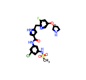 CS(=O)(=O)Nc1cc(Cl)cc(NC(=O)c2c[nH]c(Cc3ncc(O[C@H]4CCNC4)cc3F)c2)c1